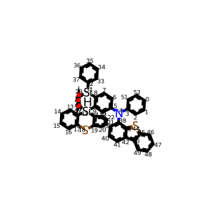 c1ccc(N(c2ccc3c(c2)[Si]2(c4ccccc4Sc4ccccc42)c2ccccc2[SiH]3c2ccccc2)c2cccc3c2sc2ccccc23)cc1